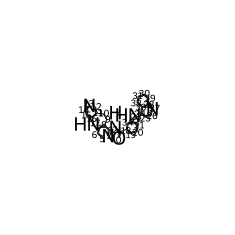 O=C(Nc1nccc2c1CCc1cnccc1N2)c1cccc(Nc2ccnc3ccccc23)c1